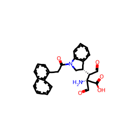 N[C@@](C=O)(C(=O)O)C(C=O)[C@@H]1CN(C(=O)Cc2cccc3ccccc23)c2ccccc21